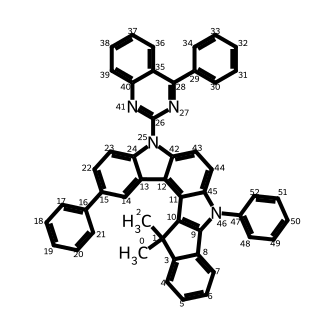 CC1(C)c2ccccc2-c2c1c1c3c4cc(-c5ccccc5)ccc4n(-c4nc(-c5ccccc5)c5ccccc5n4)c3ccc1n2-c1ccccc1